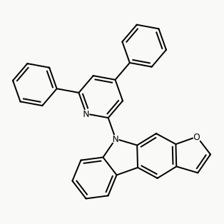 c1ccc(-c2cc(-c3ccccc3)nc(-n3c4ccccc4c4cc5ccoc5cc43)c2)cc1